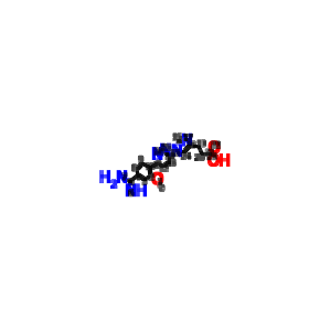 COc1cc(C(=N)N)ccc1-c1ccc(-n2cnc(CCC(=O)O)c2)nn1